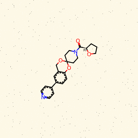 O=C([C@H]1CCCO1)N1CCC2(CC1)OCc1cc(-c3ccncc3)ccc1O2